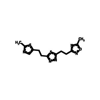 Cc1nc(CCc2nnc(CCc3cnc(C)s3)s2)no1